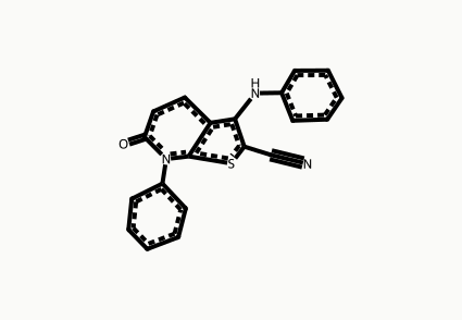 N#Cc1sc2c(ccc(=O)n2-c2ccccc2)c1Nc1ccccc1